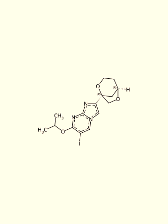 CC(C)Oc1nc2nc([C@]34CO[C@H](CCO3)C4)cn2cc1I